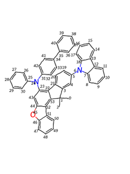 CC1(C)c2cc(-n3c4ccccc4c4ccccc43)ccc2-c2c(N(c3ccccc3)c3ccc(-c4ccccc4)cc3)cc3oc4ccccc4c3c21